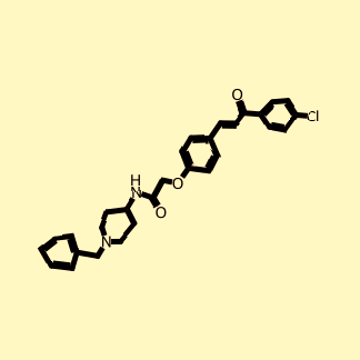 O=C(COc1ccc(C=CC(=O)c2ccc(Cl)cc2)cc1)NC1CCN(Cc2ccccc2)CC1